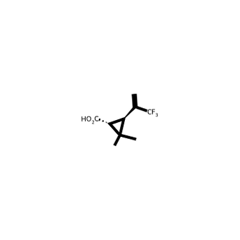 C=C([C@@H]1[C@@H](C(=O)O)C1(C)C)C(F)(F)F